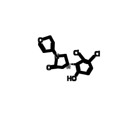 O=C1C[C@@H](c2c(O)ccc(Cl)c2Cl)CN1C1=CCOC=C1